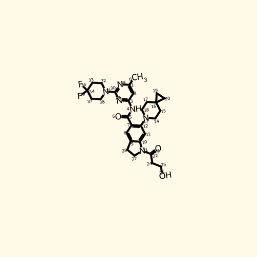 Cc1cc(NC(=O)c2cc3c(cc2N2CCC4(CC2)CC4)N(C(=O)CCO)CC3)nc(N2CCC(F)(F)CC2)n1